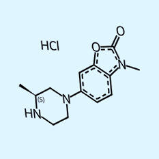 C[C@H]1CN(c2ccc3c(c2)oc(=O)n3C)CCN1.Cl